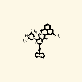 C#Cc1cccc2cc(N)cc(-c3nnc4c(N5CC(=C)N[C@@H](C)C5)nc(C#CC56CCCN5CCC6)nc4c3F)c12